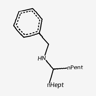 CCCCCCCC(CCCCC)NCc1ccccc1